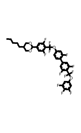 CCCCCC1COC(c2cc(F)c(C(F)(F)Oc3ccc(-c4cc(F)c(C(F)(F)Oc5cc(F)c(F)c(F)c5)c(F)c4)c(F)c3)c(F)c2)OC1